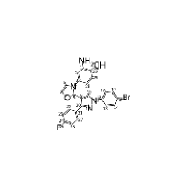 Nc1cc(N2C=COC2c2cn(-c3ccc(Br)cc3)nc2-c2ccc(F)cc2)ccc1O